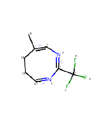 C/C1=C/N=C(C(F)(F)F)\N=C/CC1